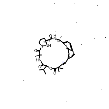 CC(C)C1OC(=O)C(C)(C)/C=C/c2ccc3ccc(nc3c2)[C@@H](C)NC(=O)[C@@H]2CCCN(N2)C(=O)[C@H](C)NC1=O